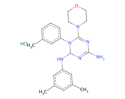 Cc1cc(C)cc(NC2N=C(N)N=C(N3CCOCC3)N2c2cccc(C)c2)c1.Cl